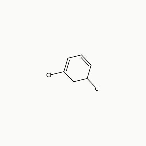 ClC1=CC=CC(Cl)C1